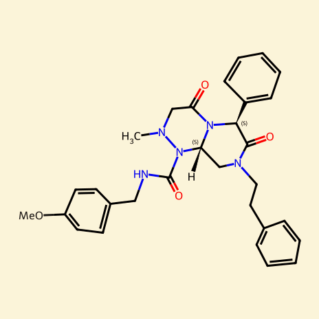 COc1ccc(CNC(=O)N2[C@H]3CN(CCc4ccccc4)C(=O)[C@H](c4ccccc4)N3C(=O)CN2C)cc1